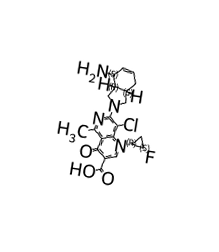 Cc1nc(N2C[C@H]3CC=C[C@H](N)[C@H]3C2)c(Cl)c2c1c(=O)c(C(=O)O)cn2[C@@H]1C[C@@H]1F